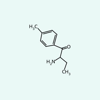 CCC(N)C(=O)c1ccc(C)cc1